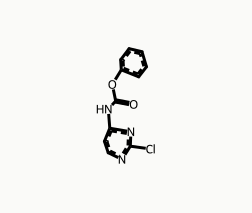 O=C(Nc1ccnc(Cl)n1)Oc1ccccc1